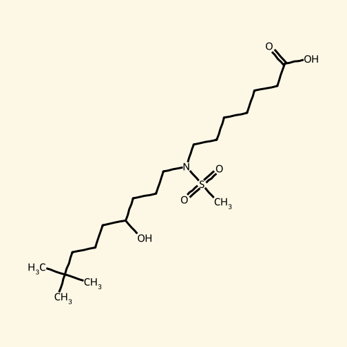 CC(C)(C)CCCC(O)CCCN(CCCCCCC(=O)O)S(C)(=O)=O